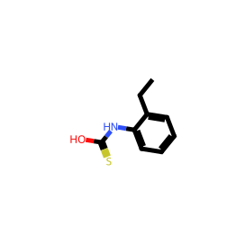 CCc1ccccc1NC(O)=S